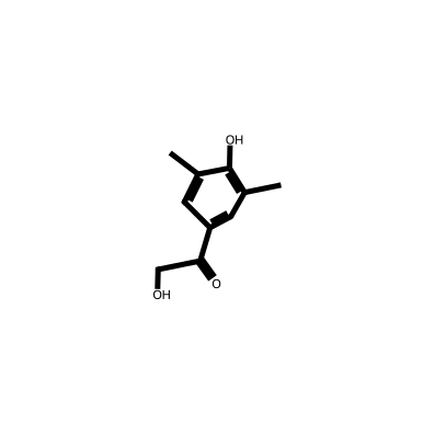 Cc1cc(C(=O)CO)cc(C)c1O